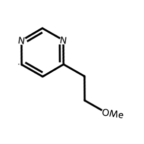 COCCc1c[c]ncn1